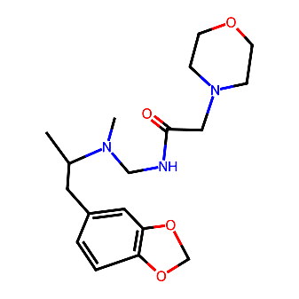 CC(Cc1ccc2c(c1)OCO2)N(C)CNC(=O)CN1CCOCC1